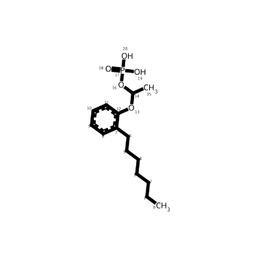 CCCCCCCc1ccccc1OC(C)OP(=O)(O)O